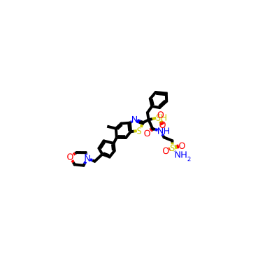 Cc1cc2nc(C(Cc3ccccc3)(C(=O)NCCS(N)(=O)=O)[SH](=O)=O)sc2cc1-c1ccc(CN2CCOCC2)cc1